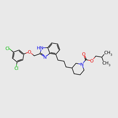 CC(C)COC(=O)N1CCCC(CCCc2cccc3[nH]c(COc4cc(Cl)cc(Cl)c4)nc23)C1